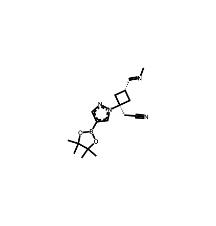 CN=C[C@H]1C[C@](CC#N)(n2cc(B3OC(C)(C)C(C)(C)O3)cn2)C1